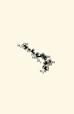 CC(O)(O)CC(=O)SCCNC(=O)CCNC(=O)[C@H](O)C(C)(C)COP(=O)(O)OP(=O)(O)OC[C@H]1O[C@@H](n2cnc3c(N)ncnc32)[C@H](O)[C@@H]1OP(=O)(O)O